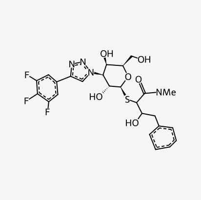 CNC(=O)C(S[C@@H]1O[C@H](CO)[C@H](O)[C@H](n2cc(-c3cc(F)c(F)c(F)c3)nn2)[C@H]1O)C(O)Cc1ccccc1